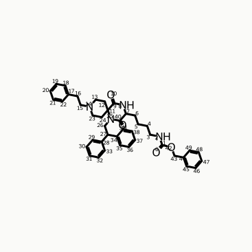 O=C(NCCCCC1NC(=O)C2(CCN(CCc3ccccc3)CC2)N(CC(c2ccccc2)c2ccccc2)C1=O)OCc1ccccc1